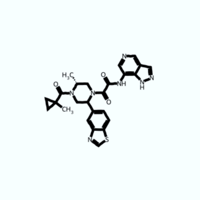 C[C@@H]1CN(C(=O)C(=O)Nc2cncc3cn[nH]c23)C(c2ccc3scnc3c2)CN1C(=O)C1(C)CC1